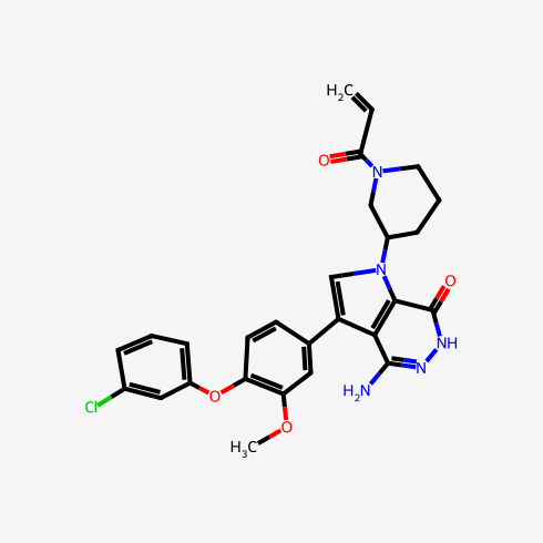 C=CC(=O)N1CCCC(n2cc(-c3ccc(Oc4cccc(Cl)c4)c(OC)c3)c3c(N)n[nH]c(=O)c32)C1